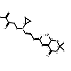 C=C(C)C(=O)CCN(/C=C/C=C(O)/C=C1/C(=O)OC(C)(C)OC1O)C1CC1